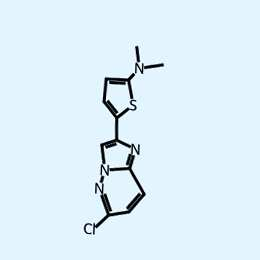 CN(C)c1ccc(-c2cn3nc(Cl)ccc3n2)s1